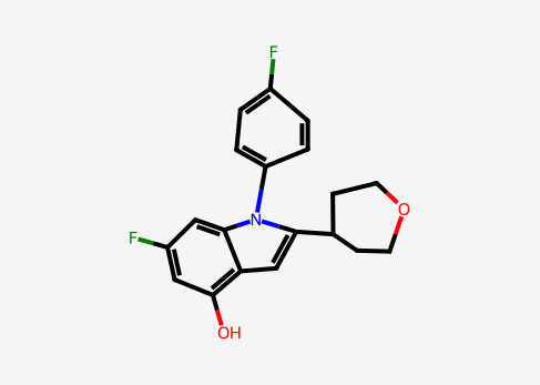 Oc1cc(F)cc2c1cc(C1CCOCC1)n2-c1ccc(F)cc1